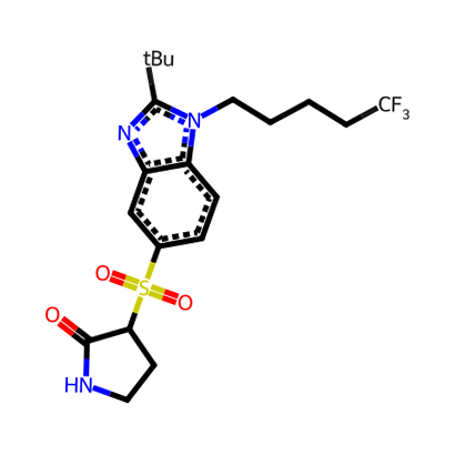 CC(C)(C)c1nc2cc(S(=O)(=O)C3CCNC3=O)ccc2n1CCCCC(F)(F)F